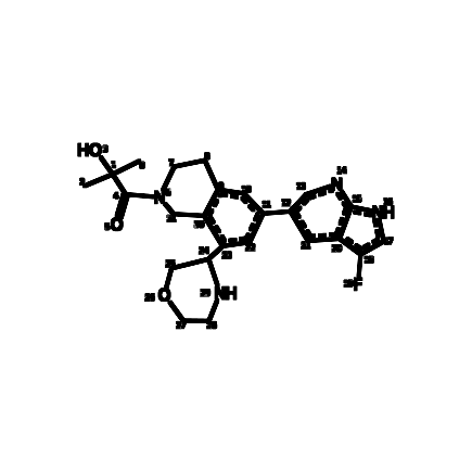 CC(C)(O)C(=O)N1CCc2cc(-c3cnc4[nH]cc(F)c4c3)cc(C3COCCN3)c2C1